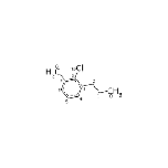 CCCc1cccc(C)c1Cl